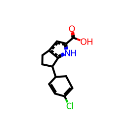 O=C(O)c1cc2c([nH]1)C(C1C=CC(Cl)=CC1)CC2